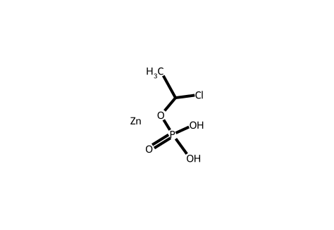 CC(Cl)OP(=O)(O)O.[Zn]